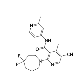 Cc1cc(NC(=O)c2c(N3CCCC(F)(F)CC3)ncc(C#N)c2C)ccn1